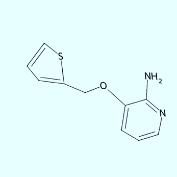 Nc1ncccc1OCc1cccs1